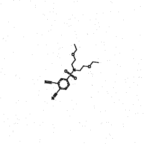 CCOCCN(CCOCC)S(=O)(=O)c1ccc(C#N)c(C#N)c1